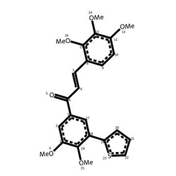 COc1cc(C(=O)C=Cc2ccc(OC)c(OC)c2OC)cc(-c2cccs2)c1OC